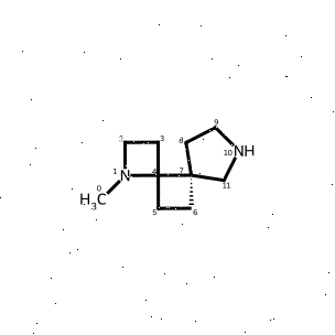 CN1CCC12CC[C@@]21CCNC1